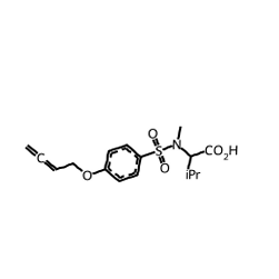 C=C=CCOc1ccc(S(=O)(=O)N(C)C(C(=O)O)C(C)C)cc1